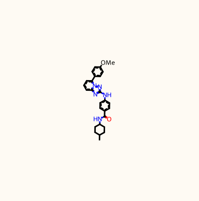 COc1ccc(-c2cccc3nc(Nc4ccc(C(=O)NC5CCC(C)CC5)cc4)nn23)cc1